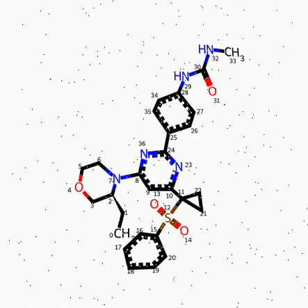 CC[C@H]1COCCN1c1cc(C2(S(=O)(=O)c3ccccc3)CC2)nc(-c2ccc(NC(=O)NC)cc2)n1